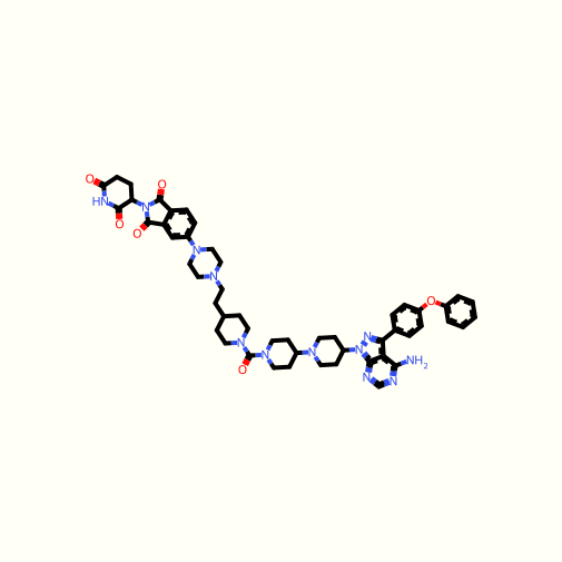 Nc1ncnc2c1c(-c1ccc(Oc3ccccc3)cc1)nn2C1CCN(C2CCN(C(=O)N3CCC(CCN4CCN(c5ccc6c(c5)C(=O)N(C5CCC(=O)NC5=O)C6=O)CC4)CC3)CC2)CC1